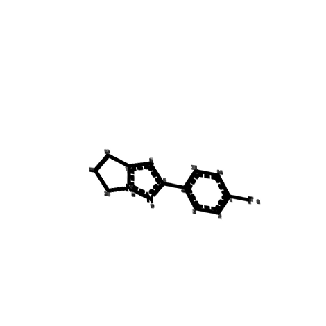 Fc1ccc(-c2[c]c3n(n2)CCC3)cc1